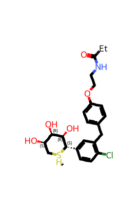 CCC(=O)NCCOc1ccc(Cc2cc([C@H]3[C@H](O)[C@H](O)[C@H](O)C[SH]3C)ccc2Cl)cc1